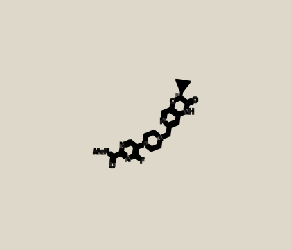 CNC(=O)c1ncc(N2CCN(Cc3cc4c(cn3)O[C@@H](C3CC3)C(=O)N4)CC2)c(F)n1